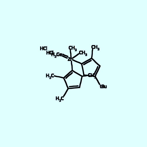 CC1=CC(C)[C]([Zr]([CH3])([CH3])(=[GeH2])[C]2=C(C)C=C(C(C)(C)C)C2)=C1C.Cl.Cl